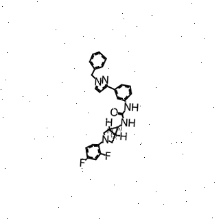 O=C(Nc1cccc(-c2ccn(Cc3ccccc3)n2)c1)N[C@H]1[C@@H]2CN(c3ccc(F)cc3F)C[C@@H]21